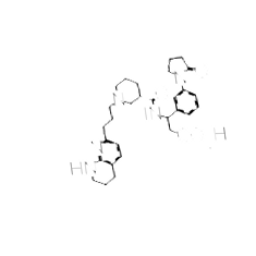 O=C(O)CC(NC(=O)[C@@H]1CCCN(CCCc2ccc3c(n2)NCCC3)C1)c1cccc(N2CCCC2=O)c1